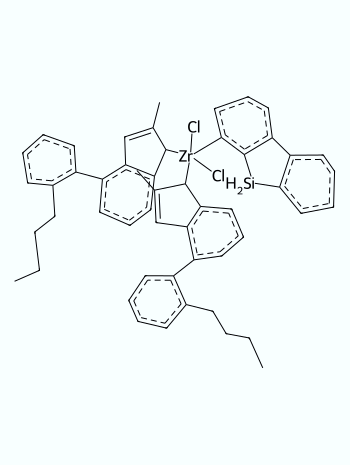 CCCCc1ccccc1-c1cccc2c1C=C(C)[CH]2[Zr]([Cl])([Cl])([c]1cccc2c1[SiH2]c1ccccc1-2)[CH]1C(C)=Cc2c(-c3ccccc3CCCC)cccc21